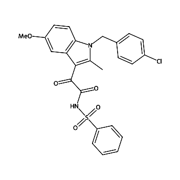 COc1ccc2c(c1)c(C(=O)C(=O)NS(=O)(=O)c1ccccc1)c(C)n2Cc1ccc(Cl)cc1